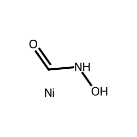 O=CNO.[Ni]